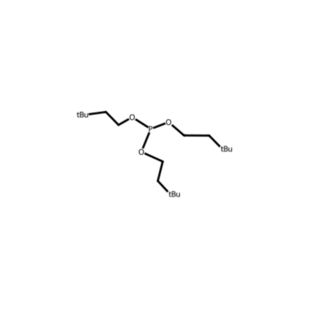 CC(C)(C)CCOP(OCCC(C)(C)C)OCCC(C)(C)C